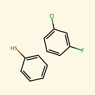 Fc1cccc(Cl)c1.Sc1ccccc1